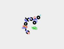 Cc1nn(-c2ccc(S(=O)(=O)NCCN3CCOCC3)cc2)c(C)c1CN1CCC(N(C(=O)Nc2ccc(F)cc2)c2ccccc2)CC1.Cl.Cl.Cl